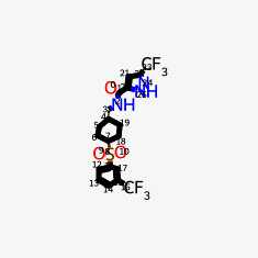 O=C(NC[C@H]1CC[C@H](S(=O)(=O)c2cccc(C(F)(F)F)c2)CC1)c1cc(C(F)(F)F)n[nH]1